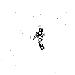 Nc1nccc(-c2c(-c3ccc(F)cc3)ncn2C2CCN(Cc3nc4ccccc4s3)CC2)n1